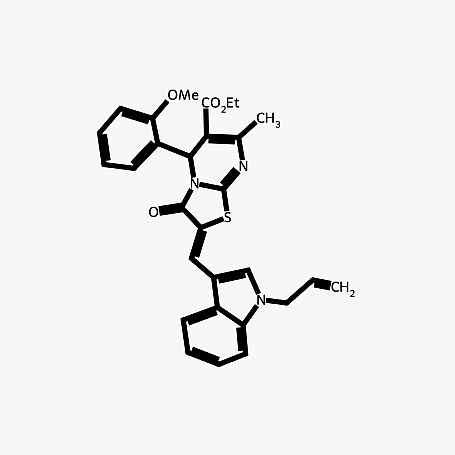 C=CCn1cc(/C=c2\sc3n(c2=O)C(c2ccccc2OC)C(C(=O)OCC)=C(C)N=3)c2ccccc21